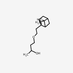 CC(O)CCOCCC1=CCC2CC1C2(C)C